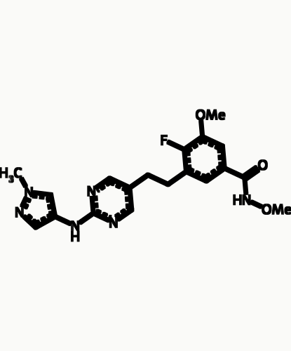 CONC(=O)c1cc(CCc2cnc(Nc3cnn(C)c3)nc2)c(F)c(OC)c1